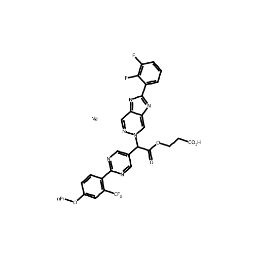 CCCOc1ccc(-c2ncc(C(C(=O)OCCC(=O)O)n3cc4nc(-c5cccc(F)c5F)nc-4cn3)cn2)c(C(F)(F)F)c1.[Na]